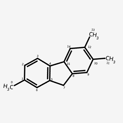 Cc1ccc2c(c1)Cc1cc(C)c(C)cc1-2